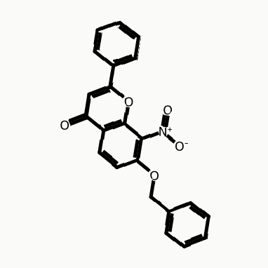 O=c1cc(-c2ccccc2)oc2c([N+](=O)[O-])c(OCc3ccccc3)ccc12